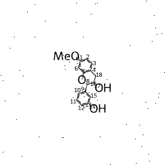 COc1ccc2c(c1)O[C@H](c1cccc(O)c1)[C@H](O)C2